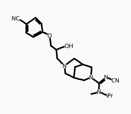 CC(C)N(C)/C(=N\C#N)N1CC2CC(CN(CC(O)COc3ccc(C#N)cc3)C2)C1